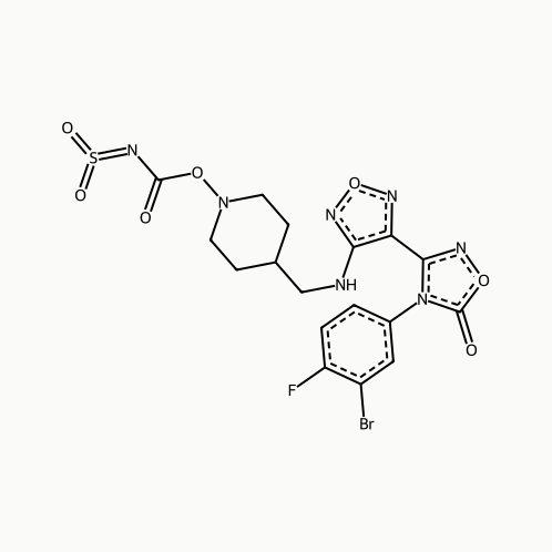 O=C(N=S(=O)=O)ON1CCC(CNc2nonc2-c2noc(=O)n2-c2ccc(F)c(Br)c2)CC1